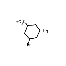 O=C(O)C1CCCC(Br)C1.[Hg]